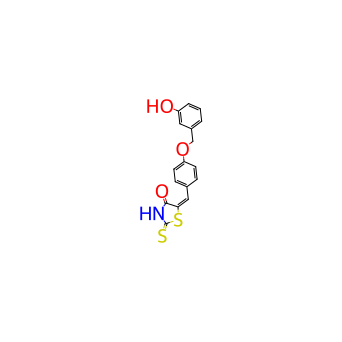 O=C1NC(=S)SC1=Cc1ccc(OCc2cccc(O)c2)cc1